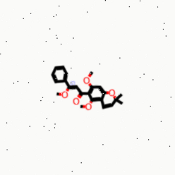 CO/C(=C\C(=O)c1c(OC)cc2c(c1OC)C=CC(C)(C)O2)c1ccccc1